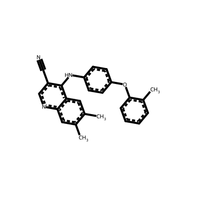 Cc1cc2ncc(C#N)c(Nc3ccc(Oc4ccccc4C)cc3)c2cc1C